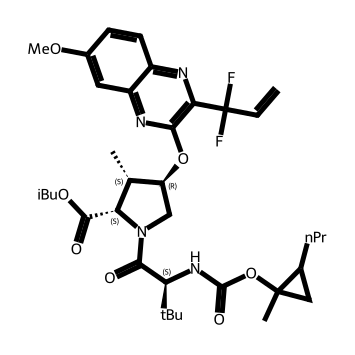 C=CC(F)(F)c1nc2ccc(OC)cc2nc1O[C@H]1CN(C(=O)[C@@H](NC(=O)OC2(C)CC2CCC)C(C)(C)C)[C@H](C(=O)OCC(C)C)[C@@H]1C